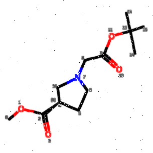 COC(=O)[C@@H]1CCN(CC(=O)OC(C)(C)C)C1